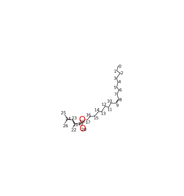 CCCCCCCC/C=C\CCCCCCCCOC(=O)C(C)=CC(C)C